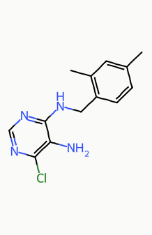 Cc1ccc(CNc2ncnc(Cl)c2N)c(C)c1